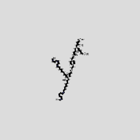 CC/C=C\C/C=C\C/C=C\CCCCCC[C@H](O)CN(CCCSSCCN1CCN(CCOC(=O)CCCN(CC(O)CCCCCCCCCCCC)CC(O)CCCCCCCCCCCC)CC1)C[C@@H](O)CCCCCC/C=C\C/C=C\C/C=C\CC